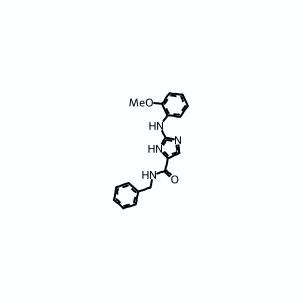 COc1ccccc1Nc1ncc(C(=O)NCc2ccccc2)[nH]1